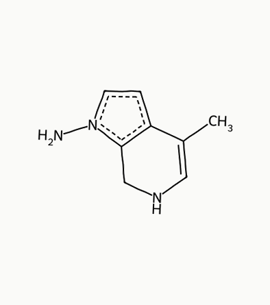 CC1=CNCc2c1ccn2N